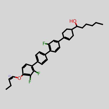 CC/C=C\Oc1ccc(-c2ccc(-c3ccc(C4=CCC(C(O)CCCCC)CC4)cc3F)cc2)c(F)c1F